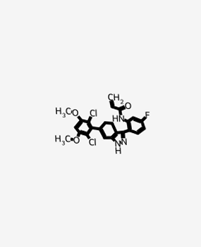 C=CC(=O)Nc1cc(F)ccc1-c1n[nH]c2c1CCC(c1c(Cl)c(OC)cc(OC)c1Cl)=C2